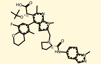 Cc1nc2c(cc(CN3CCC[C@H]3C(=O)Nc3ccc4c(cnn4C)c3)n2C)c(-c2cc(F)c3c(c2C)CCCO3)c1[C@H](OC(C)(C)C)C(=O)O